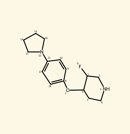 FC1CNCCC1Oc1ccc(N2CCCC2)cc1